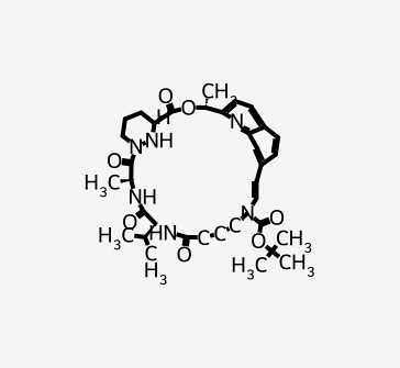 CC(C)[C@@H]1NC(=O)CCCN(C(=O)OC(C)(C)C)/C=C/c2ccc3ccc(nc3c2)[C@@H](C)OC(=O)[C@@H]2CCCN(N2)C(=O)[C@H](C)NC1=O